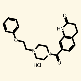 Cl.O=C1CCc2ccc(C(=O)N3CCN(CCOc4ccccc4)CC3)cc2N1